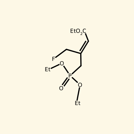 CCOC(=O)/C=C(\CF)CP(=O)(OCC)OCC